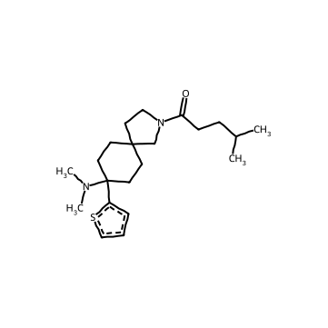 CC(C)CCC(=O)N1CCC2(CCC(c3cccs3)(N(C)C)CC2)C1